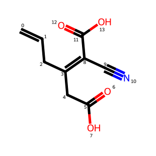 C=CCC(CC(=O)O)=C(C#N)C(=O)O